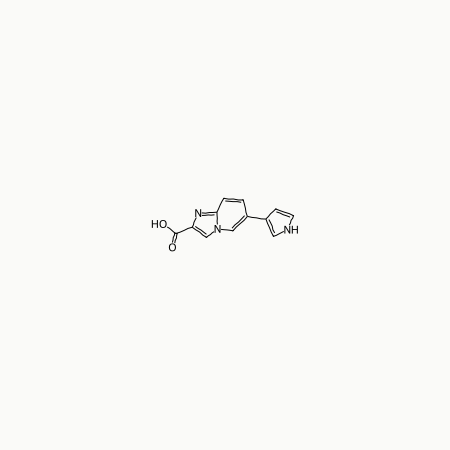 O=C(O)c1cn2cc(-c3cc[nH]c3)ccc2n1